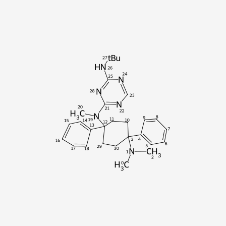 CN(C)C1(c2ccccc2)CCC(c2ccccc2)(N(C)c2ncnc(NC(C)(C)C)n2)CC1